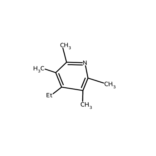 CCc1c(C)c(C)nc(C)c1C